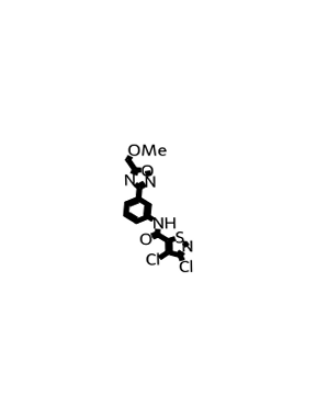 COCc1nc(-c2cccc(NC(=O)c3snc(Cl)c3Cl)c2)no1